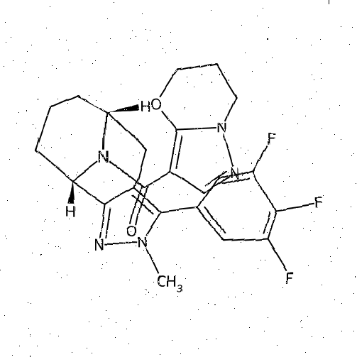 Cn1nc2c(c1-c1cc(F)c(F)c(F)c1)C[C@H]1CCC[C@@H]2N1C(=O)c1cnn2c1OCCC2